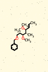 C/C=C/[C@H](OC)[C@H](C)[C@@H](OC)[C@@H](C)COCc1ccccc1